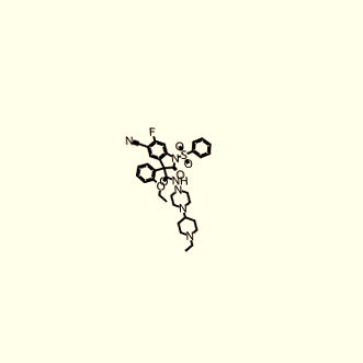 CCOc1ccccc1C1(C(=O)NN2CCN(C3CCN(CC)CC3)CC2)C(=O)N(S(=O)(=O)c2ccccc2)c2cc(F)c(C#N)cc21